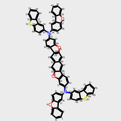 c1ccc2c(c1)oc1ccc(N(c3ccc4c(c3)oc3cc5cc6c(cc5cc34)oc3cc(N(c4ccc5oc7ccccc7c5c4)c4ccc5sc7ccccc7c5c4)ccc36)c3ccc4sc5ccccc5c4c3)cc12